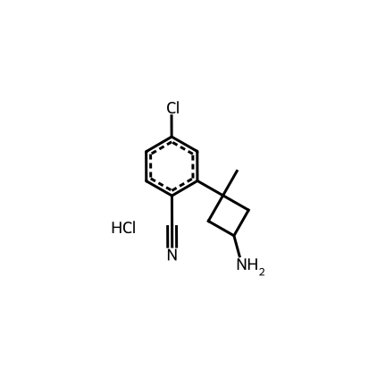 CC1(c2cc(Cl)ccc2C#N)CC(N)C1.Cl